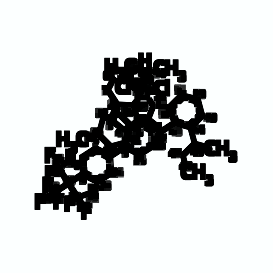 CCC1=Cc2c(-c3ccc(C(C(F)(F)F)(C(F)(F)F)C(F)(F)F)cc3)cccc2[CH]1[Zr]([Cl])([Cl])([CH]1C(C2CCC(C)CC2)=Cc2c(C(C)CC)cccc21)[SiH](C)C